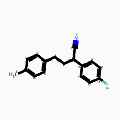 Cc1ccc(CCC(C#N)c2ccc(F)cc2)cc1